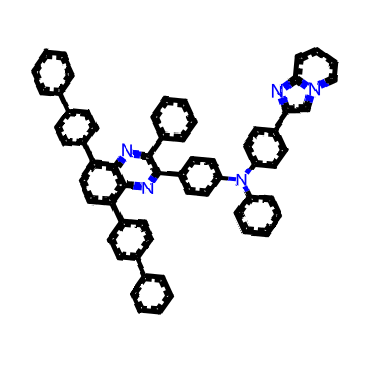 c1ccc(-c2ccc(-c3ccc(-c4ccc(-c5ccccc5)cc4)c4nc(-c5ccc(N(c6ccccc6)c6ccc(-c7cn8ccccc8n7)cc6)cc5)c(-c5ccccc5)nc34)cc2)cc1